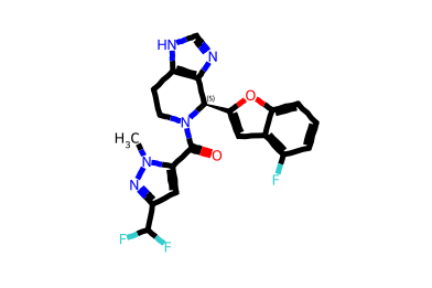 Cn1nc(C(F)F)cc1C(=O)N1CCc2[nH]cnc2[C@H]1c1cc2c(F)cccc2o1